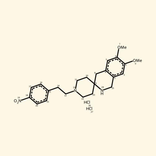 COc1cc2c(cc1OC)CC1(CCN(CCc3ccc([N+](=O)[O-])cc3)CC1)NC2.Cl.Cl